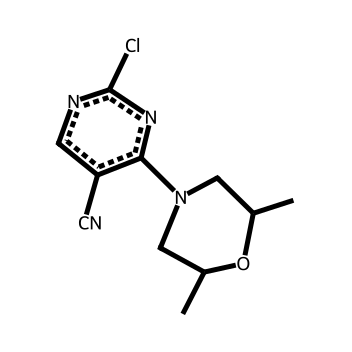 CC1CN(c2nc(Cl)ncc2C#N)CC(C)O1